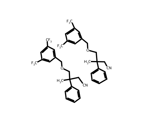 CC(CC#N)(COCc1cc(C(F)(F)F)cc(C(F)(F)F)c1)c1ccccc1.CC(CC#N)(COCc1cc(C(F)(F)F)cc(C(F)(F)F)c1)c1ccccc1